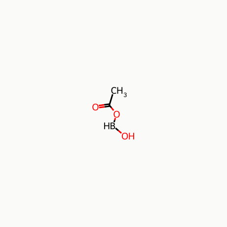 CC(=O)OBO